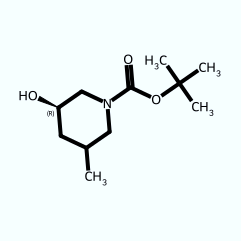 CC1C[C@@H](O)CN(C(=O)OC(C)(C)C)C1